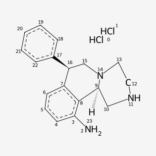 Cl.Cl.Nc1cccc2c1[C@@H]1CNCCN1C[C@@H]2c1ccccc1